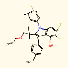 CNCOCC(C)(C)c1c(-c2ccc(C(=O)O)cc2)c2c(O)c(F)c(F)cc2n1-c1ccc(F)c(C)c1